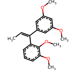 CC=C(c1cc(OC)cc(OC)c1)c1cccc(OC)c1OC